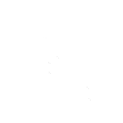 CN1CCN(C(=O)CCc2ccc3c(c2)sc2ncnc(Nc4ccc(OCc5cccc(F)c5)c(Cl)c4)c23)CC1